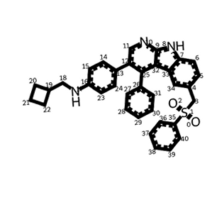 O=S(=O)(Cc1ccc2[nH]c3ncc(-c4ccc(NCC5CCC5)cc4)c(-c4ccccc4)c3c2c1)c1ccccc1